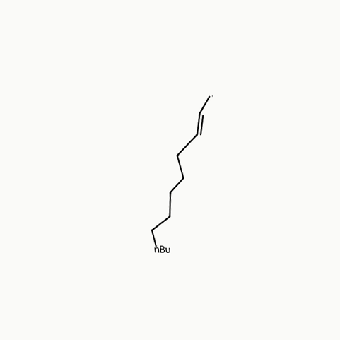 [CH2]C=CCCCCCCC[CH]C